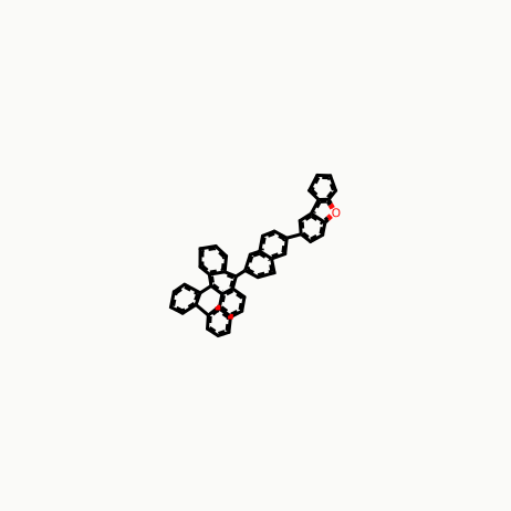 c1ccc(-c2ccccc2-c2c3ccccc3c(-c3ccc4cc(-c5ccc6oc7ccccc7c6c5)ccc4c3)c3ccccc23)cc1